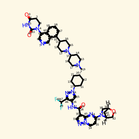 O=C1CCN(c2cncc3c(C4CCN(C5CCN(C[C@H]6CC[C@H](n7cc(NC(=O)c8cnn9ccc(N%10C[C@H]%11C[C@@H]%10CO%11)nc89)c(C(F)F)n7)CC6)CC5)CC4)cccc23)C(=O)N1